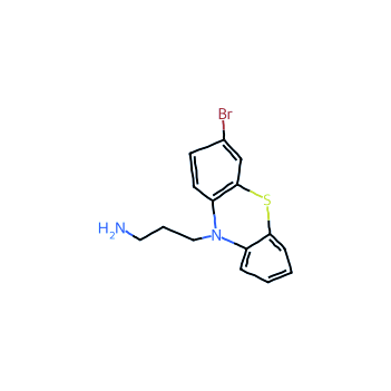 NCCCN1c2ccccc2Sc2cc(Br)ccc21